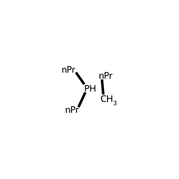 CCCC.CCCPCCC